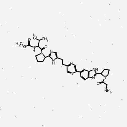 COC(=O)NC(C(=O)N1CCCC1c1ncc(CCc2cnc(-c3ccc4nc(C5CCCN5C(=O)CN)[nH]c4c3)cn2)[nH]1)C(C)C